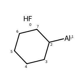 F.[Al][CH]1CCCCC1